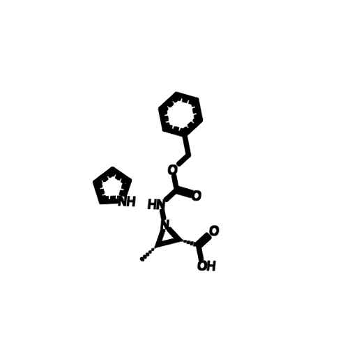 C[C@H]1[C@@H](C(=O)O)N1NC(=O)OCc1ccccc1.c1cc[nH]c1